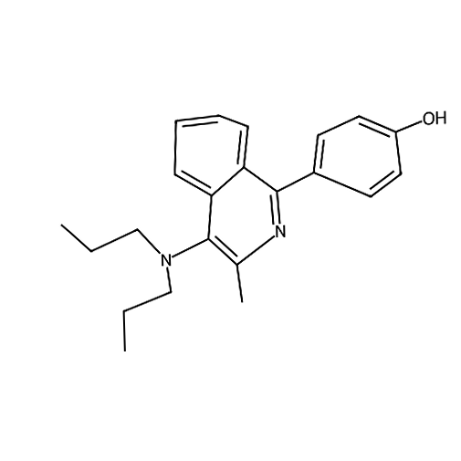 CCCN(CCC)c1c(C)nc(-c2ccc(O)cc2)c2ccccc12